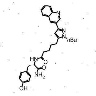 CCCCn1nc(-c2cnc3ccccc3c2)cc1CCCCC(=O)N[C@@H](Cc1ccc(O)cc1)C(N)=O